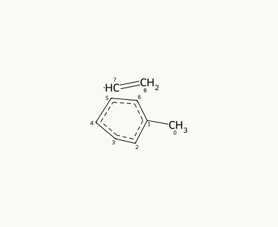 Cc1ccccc1.[CH]=C